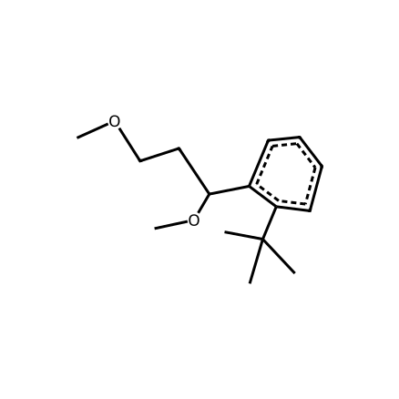 COCCC(OC)c1ccccc1C(C)(C)C